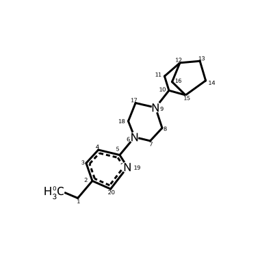 CCc1ccc(N2CCN(C3CC4CCC3C4)CC2)nc1